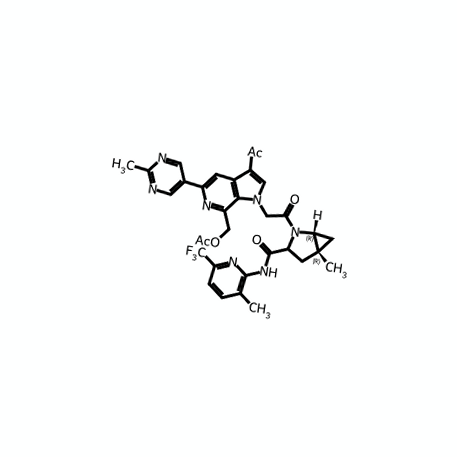 CC(=O)OCc1nc(-c2cnc(C)nc2)cc2c(C(C)=O)cn(CC(=O)N3C(C(=O)Nc4nc(C(F)(F)F)ccc4C)C[C@@]4(C)C[C@@H]34)c12